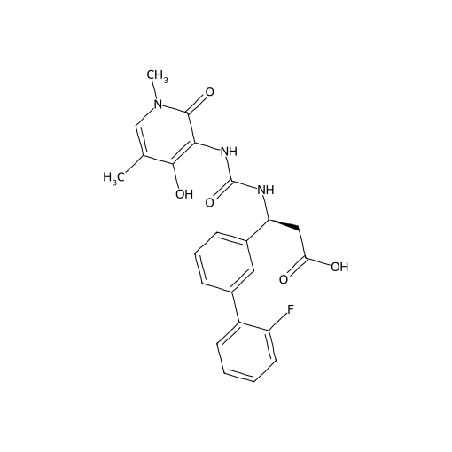 Cc1cn(C)c(=O)c(NC(=O)N[C@@H](CC(=O)O)c2cccc(-c3ccccc3F)c2)c1O